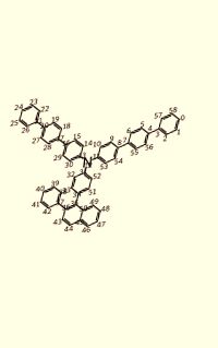 c1ccc(-c2ccc(-c3ccc(N(c4ccc(-c5ccc(-c6ccccc6)cc5)cc4)c4ccc(-c5c(-c6ccccc6)ccc6ccccc56)cc4)cc3)cc2)cc1